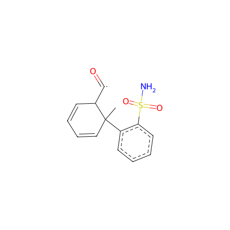 CC1(c2ccccc2S(N)(=O)=O)C=CC=CC1[C]=O